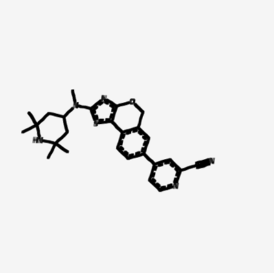 CN(c1nc2c(s1)-c1ccc(-c3ccnc(C#N)c3)cc1CO2)C1CC(C)(C)NC(C)(C)C1